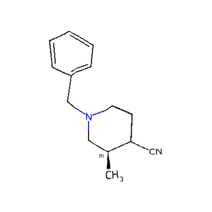 C[C@H]1CN(Cc2ccccc2)CCC1C#N